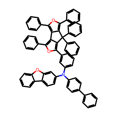 c1ccc(-c2ccc(N(c3cccc(-c4oc(-c5ccccc5)c5c4C(c4ccccc4)(c4ccccc4)c4c(-c6ccccc6)oc(-c6ccccc6)c4-5)c3)c3ccc4c(c3)oc3ccccc34)cc2)cc1